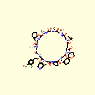 CC[C@H](C)[C@@H]1NC(=O)[C@H](CC(C)C)N(C)C(=O)C[C@@H](C(=O)N2CCOCC2)N(C)C(=O)[C@H](C2CCCCC2)N(C)C(=O)C2(CCCC2)NC(=O)[C@H](Cc2cccnc2)N(C)C(=O)[C@H](CCc2ccc(C(F)(F)F)c(Cl)c2)NC(=O)CN(C)C(=O)[C@H](CC2CCCCC2)N(C)C(=O)CN(C)C(=O)CN(C)C1=O